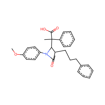 COc1ccc(N2C(=O)C(CCCc3ccccc3)C2C(C)(C(=O)O)c2ccccc2)cc1